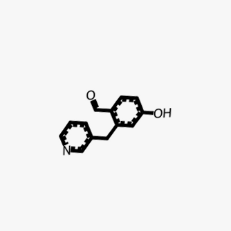 O=Cc1ccc(O)cc1Cc1cccnc1